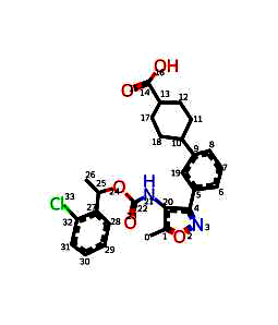 Cc1onc(-c2cccc(C3CCC(C(=O)O)CC3)c2)c1NC(=O)OC(C)c1ccccc1Cl